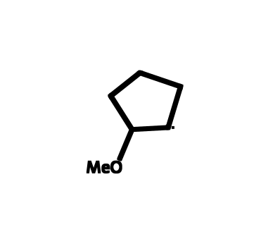 COC1[CH]CCC1